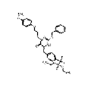 CCOP(=O)(OCC)C(F)(F)c1ccc(CC(NC(=O)OCc2ccccc2)C(=O)NCCCOc2ccc(OC)cc2)cc1